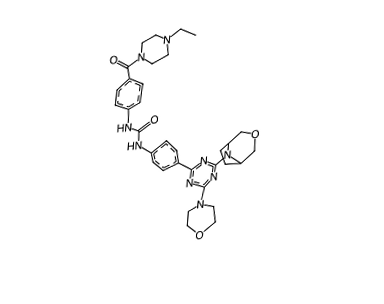 CCN1CCN(C(=O)c2ccc(NC(=O)Nc3ccc(-c4nc(N5CCOCC5)nc(N5C6CCC5COC6)n4)cc3)cc2)CC1